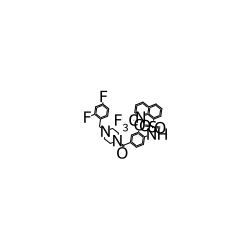 O=C(c1ccc(NS(=O)(=O)c2cccc3cccnc23)c(OC(F)(F)F)c1)N1CCN(Cc2ccc(F)cc2F)CC1